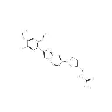 COc1cc(OC)c(-c2cn3ccc(N4CCC(CNC(=O)O)C4)cc3n2)cc1Cl